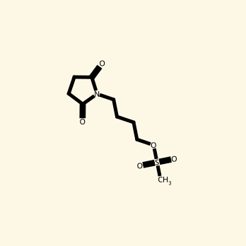 CS(=O)(=O)OCCCCN1C(=O)CCC1=O